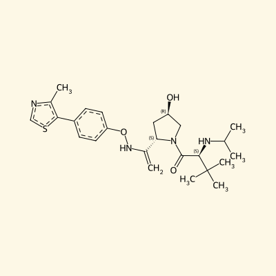 C=C(NOc1ccc(-c2scnc2C)cc1)[C@@H]1C[C@@H](O)CN1C(=O)[C@@H](NC(C)C)C(C)(C)C